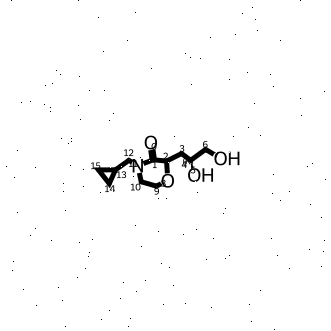 O=C1C(C[C@@H](O)CO)OCCN1CC1CC1